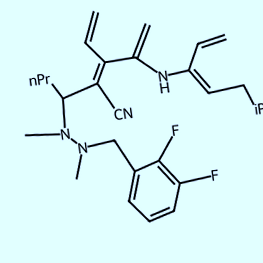 C=C/C(C(=C)N/C(C=C)=C/CC(C)C)=C(/C#N)C(CCC)N(C)N(C)Cc1cccc(F)c1F